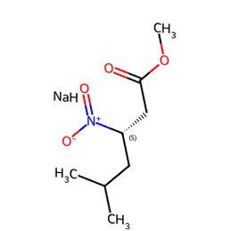 COC(=O)C[C@H](CC(C)C)[N+](=O)[O-].[NaH]